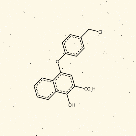 O=C(O)c1cc(Oc2ccc(CCl)cc2)c2ccccc2c1O